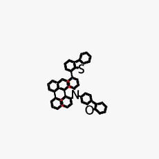 c1ccc(-c2cccc3cccc(-c4ccccc4N(c4ccc(-c5cccc6c5sc5ccccc56)cc4)c4ccc5c(c4)oc4ccccc45)c23)cc1